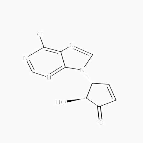 O=C1C=C[C@@H](n2cnc3c(Cl)ncnc32)[C@@H]1O